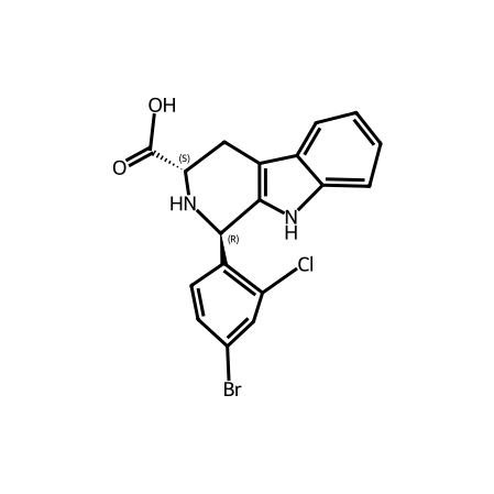 O=C(O)[C@@H]1Cc2c([nH]c3ccccc23)[C@@H](c2ccc(Br)cc2Cl)N1